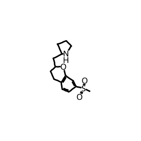 CS(=O)(=O)c1ccc2c(c1)OC(CC1CCCN1)CC2